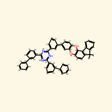 CC1(C)c2ccccc2-c2c1ccc1c2Oc2ccc(-c3cccc(-c4nc(-c5cccc(-c6ccccc6)c5)nc(-c5cccc(-c6ccccc6)c5)n4)c3)cc2O1